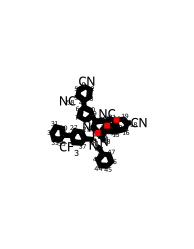 N#Cc1ccc(-c2ccc3c(c2)c2cc(-c4ccc(C#N)cc4C#N)ccc2n3-c2cc(-c3ccccc3C(F)(F)F)ccc2-c2nc(-c3ccccc3)nc(-c3ccccc3)n2)c(C#N)c1